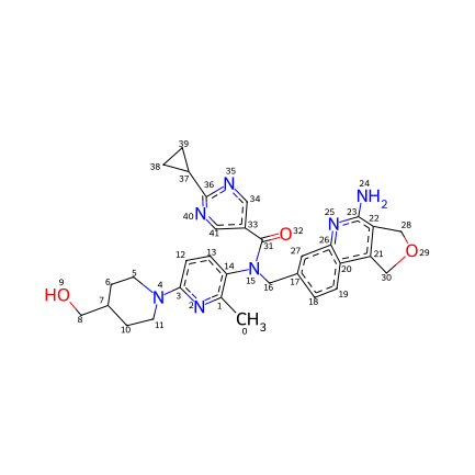 Cc1nc(N2CCC(CO)CC2)ccc1N(Cc1ccc2c3c(c(N)nc2c1)COC3)C(=O)c1cnc(C2CC2)nc1